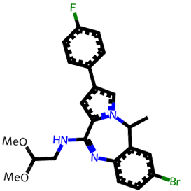 COC(CNC1=Nc2ccc(Br)cc2C(C)n2cc(-c3ccc(F)cc3)cc21)OC